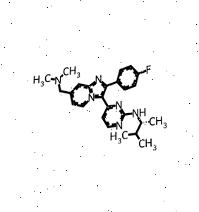 CC(C)[C@@H](C)Nc1nccc(-c2c(-c3ccc(F)cc3)nc3cc(CN(C)C)ccn23)n1